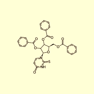 O=C(OC[C@H]1O[C@@H](n2ccc(=O)[nH]c2=S)C(OC(=O)c2ccccc2)C1OC(=O)c1ccccc1)c1ccccc1